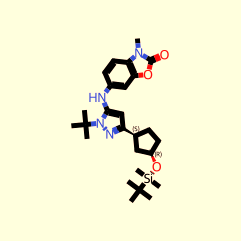 Cn1c(=O)oc2cc(Nc3cc([C@H]4CC[C@@H](O[Si](C)(C)C(C)(C)C)C4)nn3C(C)(C)C)ccc21